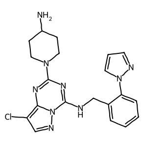 NC1CCN(c2nc(NCc3ccccc3-n3cccn3)n3ncc(Cl)c3n2)CC1